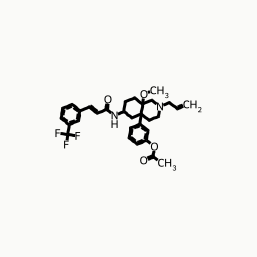 C=CCN1CCC2(c3cccc(OC(C)=O)c3)CC(NC(=O)/C=C/c3cccc(C(F)(F)F)c3)CCC2(OC)C1